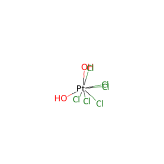 [OH][Pt]([OH])([Cl])([Cl])([Cl])([Cl])([Cl])[Cl]